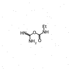 CCNC(=O)OC(=N)N